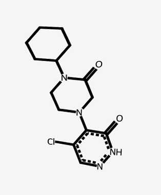 O=C1CN(c2c(Cl)cn[nH]c2=O)CCN1C1CCCCC1